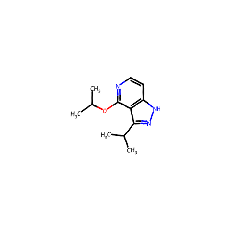 CC(C)Oc1nccc2[nH]nc(C(C)C)c12